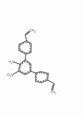 C=Cc1ccc(-c2cc(-c3ccc(C=C)cc3)c(N)c([N+](=O)[O-])c2)cc1